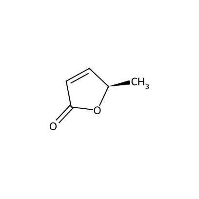 C[C@@H]1C=CC(=O)O1